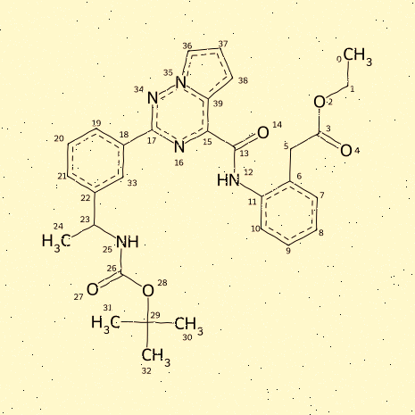 CCOC(=O)Cc1ccccc1NC(=O)c1nc(-c2cccc(C(C)NC(=O)OC(C)(C)C)c2)nn2cccc12